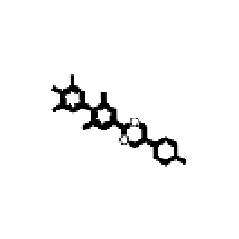 Cc1cc(-c2c(C)cc(C3OCC(C4CCC(C)CC4)CO3)cc2C)cc(C)c1C